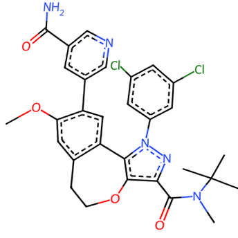 COc1cc2c(cc1-c1cncc(C(N)=O)c1)-c1c(c(C(=O)N(C)C(C)(C)C)nn1-c1cc(Cl)cc(Cl)c1)OCC2